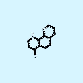 S=c1cc[nH]c2c1ccc1cccnc12